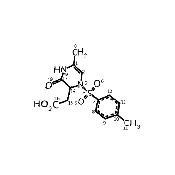 CC1=CN(S(=O)(=O)c2ccc(C)cc2)C(CC(=O)O)C(=O)N1